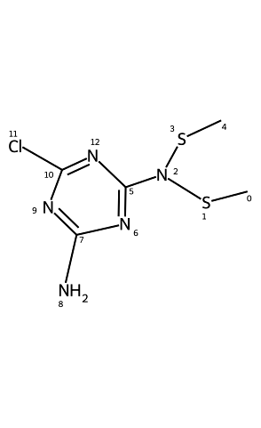 CSN(SC)c1nc(N)nc(Cl)n1